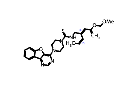 C=C(/C=C(\C=C/C)CNC(=S)N1CCN(c2ncnc3c2oc2ccccc23)CC1)OCOC